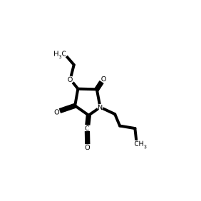 CCCCN1C(=O)C(OCC)C(=O)C1=C=O